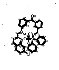 CC(C)(C)[Si](OCc1cccc(C(O)c2cccc(OCc3ccc4ccc(Cl)cc4n3)c2)c1)(c1ccccc1)c1ccccc1